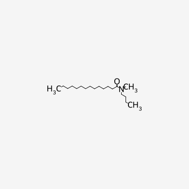 CCCCCCCCCCCCCC(=O)N(C)CCCC